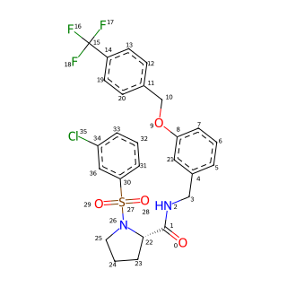 O=C(NCc1cccc(OCc2ccc(C(F)(F)F)cc2)c1)[C@@H]1CCCN1S(=O)(=O)c1cccc(Cl)c1